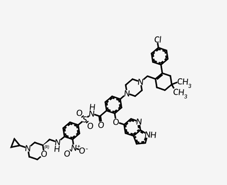 CC1(C)CCC(CN2CCN(c3ccc(C(=O)NS(=O)(=O)c4ccc(NC[C@@H]5CN(C6CC6)CCO5)c([N+](=O)[O-])c4)c(Oc4cnc5[nH]ccc5c4)c3)CC2)=C(c2ccc(Cl)cc2)C1